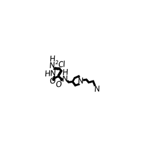 N#CCCCN1CCC(CNC(=O)c2cc(Cl)c(N)[nH]c2=O)CC1